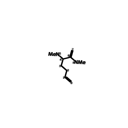 C=CCCC(NC)C(=C)NC